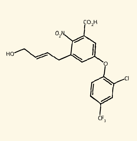 O=C(O)c1cc(Oc2ccc(C(F)(F)F)cc2Cl)cc(CC=CCO)c1[N+](=O)[O-]